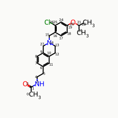 CC(=O)NCCc1ccc2c(c1)CCN(Cc1ccc(OC(C)C)cc1Cl)C2